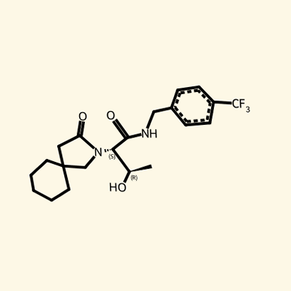 C[C@@H](O)[C@@H](C(=O)NCc1ccc(C(F)(F)F)cc1)N1CC2(CCCCC2)CC1=O